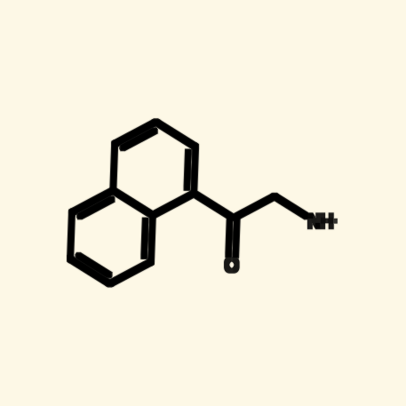 [NH]CC(=O)c1cccc2ccccc12